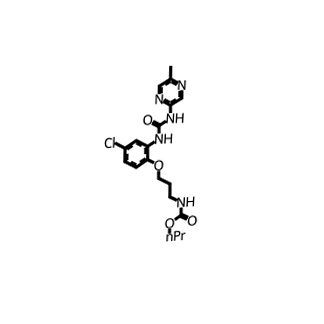 CCCOC(=O)NCCCOc1ccc(Cl)cc1NC(=O)Nc1cnc(C)cn1